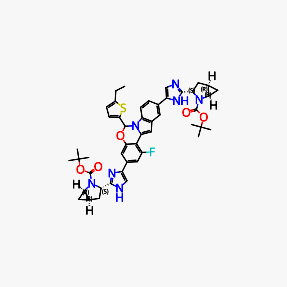 CCc1ccc(C2Oc3cc(-c4c[nH]c([C@@H]5C[C@H]6C[C@H]6N5C(=O)OC(C)(C)C)n4)cc(F)c3-c3cc4cc(-c5cnc([C@@H]6C[C@H]7C[C@H]7N6C(=O)OC(C)(C)C)[nH]5)ccc4n32)s1